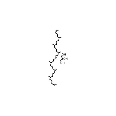 CC(C)CCCC(C)CCCC(C)CCCC(C)CCOCCC(C)CCCC(C)CCCC(C)CCCC(C)C.OCC(O)CO